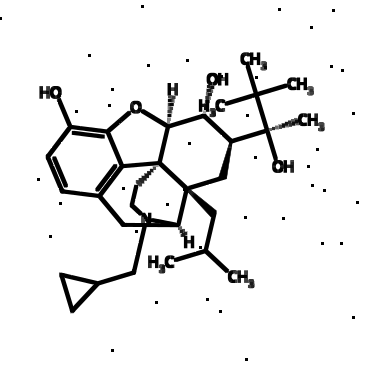 CC(C)C[C@]12C[C@H]([C@](C)(O)C(C)(C)C)[C@@H](O)[C@@H]3Oc4c(O)ccc5c4[C@@]31CCN(CC1CC1)[C@@H]2C5